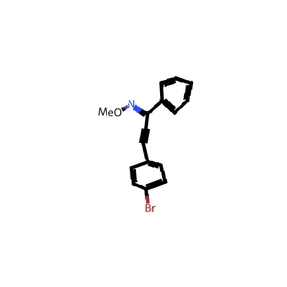 CO/N=C(\C#Cc1ccc(Br)cc1)c1ccccc1